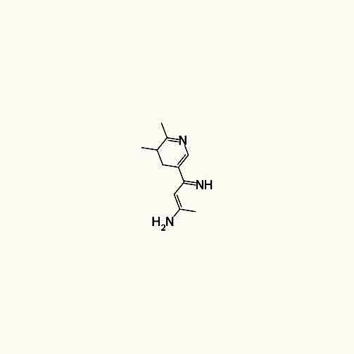 CC1=NC=C(C(=N)/C=C(\C)N)CC1C